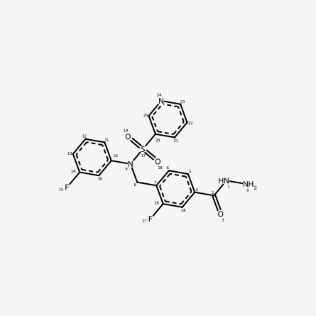 NNC(=O)c1ccc(CN(c2cccc(F)c2)S(=O)(=O)c2cccnc2)c(F)c1